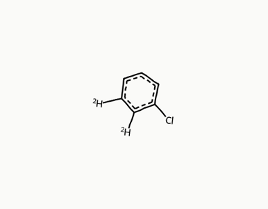 [2H]c1cccc(Cl)c1[2H]